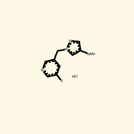 CNc1cnn(Cc2cncc(F)c2)c1.Cl